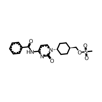 CS(=O)(=O)OC[C@H]1CC[C@H](n2ccc(NC(=O)c3ccccc3)nc2=O)CC1